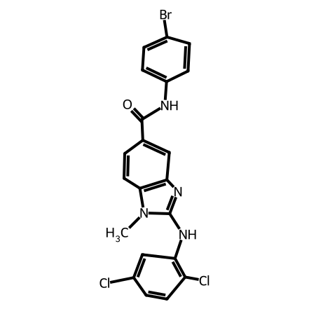 Cn1c(Nc2cc(Cl)ccc2Cl)nc2cc(C(=O)Nc3ccc(Br)cc3)ccc21